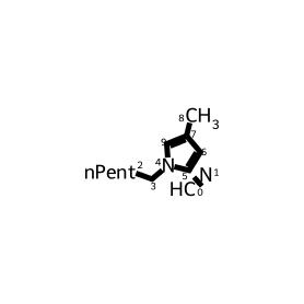 C#N.CCCCCCn1ccc(C)c1